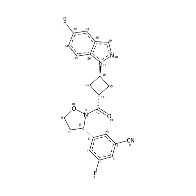 N#Cc1cc(F)cc([C@@H]2CCON2C(=O)[C@H]2C[C@H](n3ncc4cc(F)ccc43)C2)c1